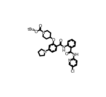 CC(C)(C)OC(=O)N1CCC(Oc2cc(N3CCCC3)ccc2C(=O)Nc2ccccc2C(=O)Nc2ccc(Cl)cn2)CC1